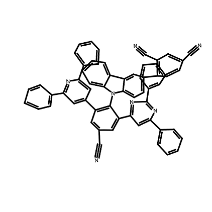 N#Cc1ccc(-c2ccc3c(c2)c2ccccc2n3-c2c(-c3cc(-c4ccccc4)nc(-c4ccccc4)c3)cc(C#N)cc2-c2cc(-c3ccccc3)nc(-c3ccccc3)n2)c(C#N)c1